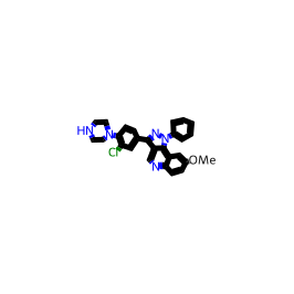 COc1ccc2ncc3c(-c4ccc(N5CCNCC5)c(Cl)c4)nn(-c4ccccc4)c3c2c1